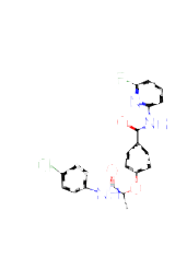 CC(Oc1ccc(C(=O)Nc2cccc(F)n2)cc1)C(=O)Nc1ccc(Cl)cc1